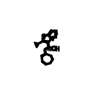 O[C@@H](CC1CCCCCC1)c1c(C2CC2)sc2cncn12